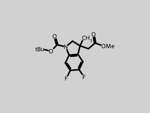 COC(=O)CC1(C)CN(C(=O)OC(C)(C)C)c2cc(F)c(F)cc21